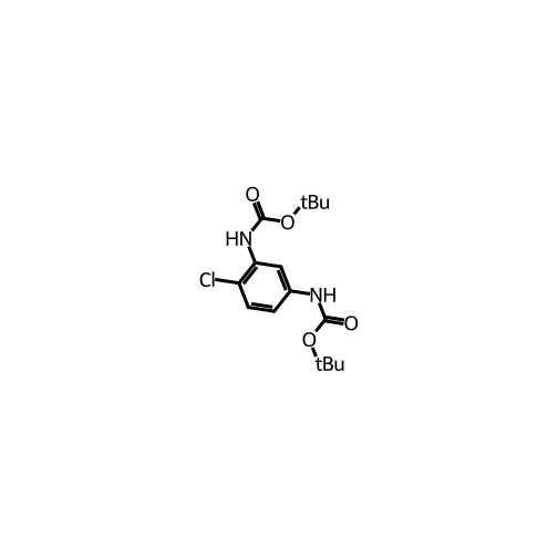 CC(C)(C)OC(=O)Nc1ccc(Cl)c(NC(=O)OC(C)(C)C)c1